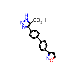 O=C(O)c1[nH]nnc1-c1ccc(-c2ccc(-c3ccon3)cc2)cc1